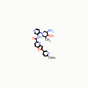 COc1ccc(-c2cc3nc(C(=O)Nc4cnccc4N4CC(C)C(O)C(N)C4)ccc3o2)cn1